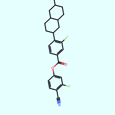 CC1CCC2CC(c3ccc(C(=O)Oc4ccc(C#N)c(F)c4)cc3F)CCC2C1